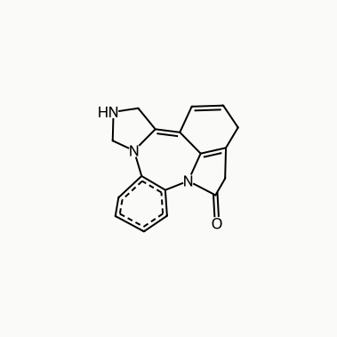 O=C1CC2=C3C(=C4CNCN4c4ccccc4N13)C=CC2